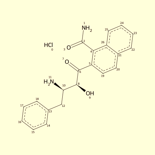 Cl.NC(=O)c1c(C(=O)[C@@H](O)[C@H](N)Cc2ccccc2)ccc2ccccc12